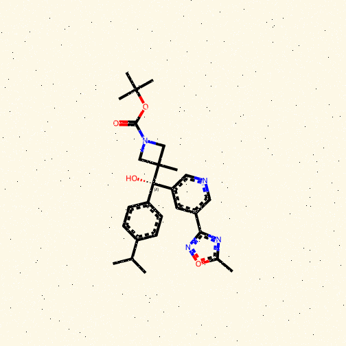 Cc1nc(-c2cncc([C@@](O)(c3ccc(C(C)C)cc3)C3(C)CN(C(=O)OC(C)(C)C)C3)c2)no1